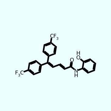 O=C(/C=C/C=C(c1ccc(C(F)(F)F)cc1)c1ccc(C(F)(F)F)cc1)Nc1ccccc1O